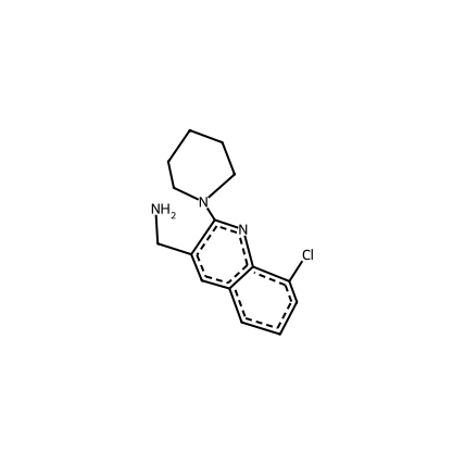 NCc1cc2cccc(Cl)c2nc1N1CCCCC1